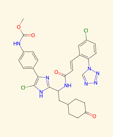 COC(=O)Nc1ccc(-c2nc(C(CC3CCC(=O)CC3)NC(=O)C=Cc3cc(Cl)ccc3-n3cnnn3)[nH]c2Cl)cc1